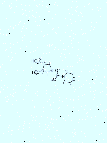 CN1C[C@@H](OC(=O)N2CCOCC2)C[C@H]1C(=O)O